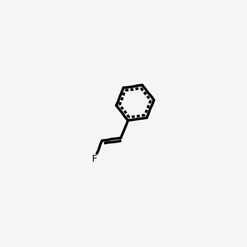 FC=Cc1ccccc1